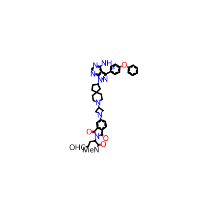 CNC(=O)C(CCC=O)N1C(=O)c2ccc(N3CC(N4CCC5(CCC(n6nc(-c7ccc(Oc8ccccc8)cc7)c7c(N)ncnc76)C5)CC4)C3)cc2C1=O